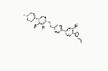 C=CCOc1ccc(-c2ccc(CCc3ccc(C4=CCC(C)CC4)c(F)c3F)cc2)cc1F